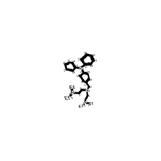 CCN(CC)CCN(CCN(CC)CC)Cc1ccc(P(c2ccccc2)c2ccccc2)cc1